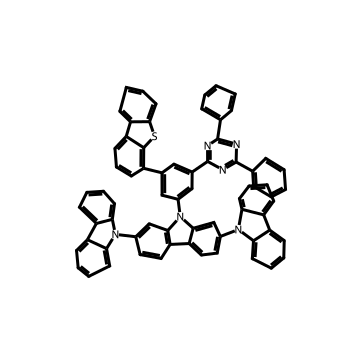 c1ccc(-c2nc(-c3ccccc3)nc(-c3cc(-c4cccc5c4sc4ccccc45)cc(-n4c5cc(-n6c7ccccc7c7ccccc76)ccc5c5ccc(-n6c7ccccc7c7ccccc76)cc54)c3)n2)cc1